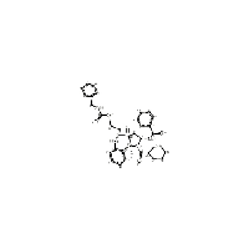 O=C(NCc1ccccc1)OCC[C@@H]1Nc2ccccc2[C@H]2[C@@H]1CCN2C(=O)[C@H]1CCCC[C@H]1NC(=O)c1ccccc1